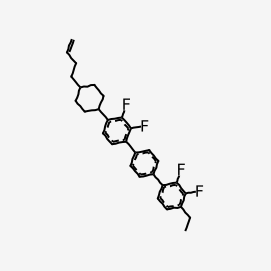 C=CCCC1CCC(c2ccc(-c3ccc(-c4ccc(CC)c(F)c4F)cc3)c(F)c2F)CC1